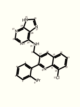 CC(C)c1ccccc1-c1nc2c(Cl)cccc2cc1CNc1ncnc2[nH]cnc12